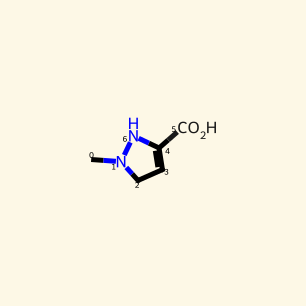 CN1CC=C(C(=O)O)N1